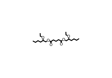 CCCCC(COC(=O)CCCC(=O)OCC(CCCC)OCC)OCC